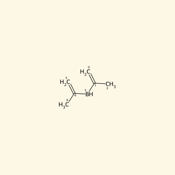 C=C(C)BC(=C)C